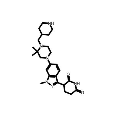 Cn1nc(C2CCC(=O)NC2=O)c2ccc(N3CCN(CC4CCNCC4)C(C)(C)C3)cc21